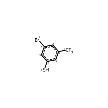 FC(F)(F)c1cc(S)cc(Br)c1